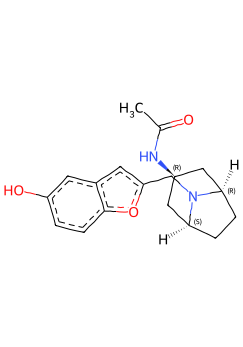 CC(=O)N[C@H]1C[C@H]2CC[C@@H](C1)N2Cc1cc2cc(O)ccc2o1